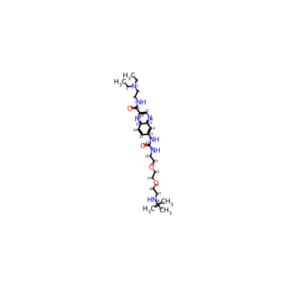 CCN(CC)CCNC(=O)c1cnc2cc(NC(=O)NCCOCCOCCNC(C)(C)C)ccc2n1